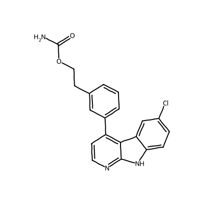 NC(=O)OCCc1cccc(-c2ccnc3[nH]c4ccc(Cl)cc4c23)c1